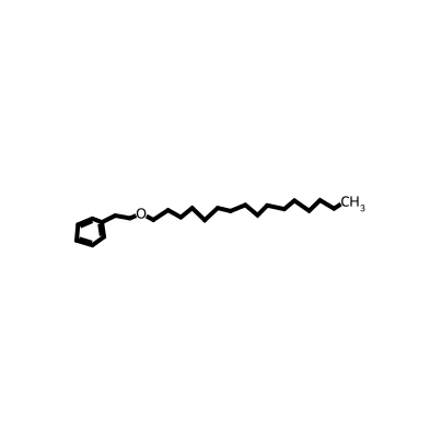 CCCCCCCCCCCCCCCCOCCc1ccccc1